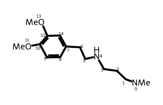 CNCCCNCCc1ccc(OC)c(OC)c1